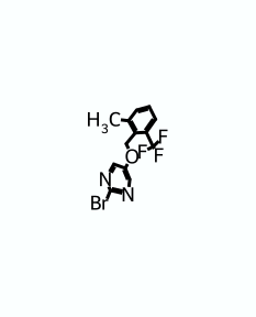 Cc1cccc(C(F)(F)F)c1COc1cnc(Br)nc1